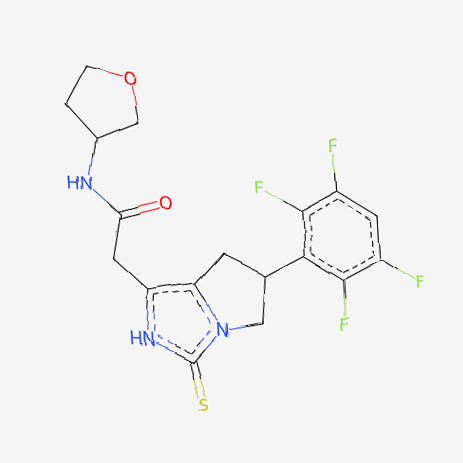 O=C(Cc1[nH]c(=S)n2c1CC(c1c(F)c(F)cc(F)c1F)C2)NC1CCOC1